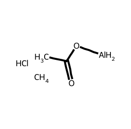 C.CC(=O)[O][AlH2].Cl